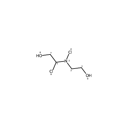 OCCN(Cl)C(Cl)CO